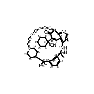 C[C@@H]1Nc2ncnc3c2cc(C2(C#N)CCCCC2)c(=O)n3CCCCCCCN2CCC(CC2)C(F)(F)c2cccc1c2